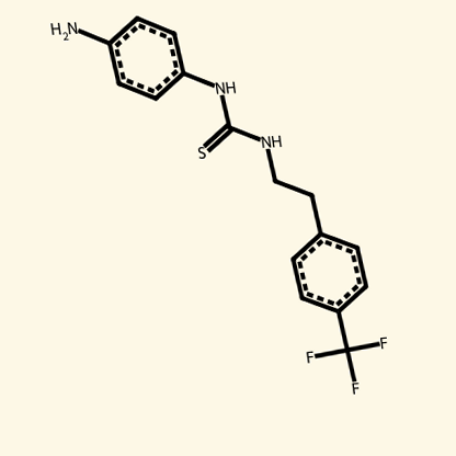 Nc1ccc(NC(=S)NCCc2ccc(C(F)(F)F)cc2)cc1